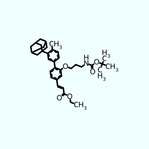 CCOC(=O)/C=C/c1ccc(-c2ccc(C)c(C34CC5CC(CC(C5)C3)C4)c2)c(OCCCNC(=O)OC(C)(C)C)c1